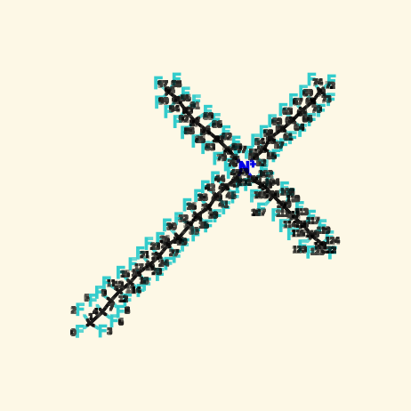 FC(F)(F)C(F)(F)C(F)(F)C(F)(F)C(F)(F)C(F)(F)C(F)(F)C(F)(F)C(F)(F)C(F)(F)C(F)(F)C(F)(F)C(F)(F)C(F)(F)C(F)(F)C(F)(F)[N+](C(F)(F)C(F)(F)C(F)(F)C(F)(F)C(F)(F)C(F)(F)C(F)(F)C(F)(F)F)(C(F)(F)C(F)(F)C(F)(F)C(F)(F)C(F)(F)C(F)(F)C(F)(F)C(F)(F)F)C(F)(F)C(F)(F)C(F)(F)C(F)(F)C(F)(F)C(F)(F)C(F)(F)C(F)(F)F